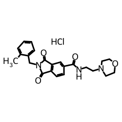 Cc1ccccc1CN1C(=O)c2ccc(C(=O)NCCN3CCOCC3)cc2C1=O.Cl